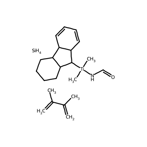 C=C(C)C(=C)C.[CH3][Ti]([CH3])([NH]C=O)[CH]1C2C=CC=CC2C2CCCCC21.[SiH4]